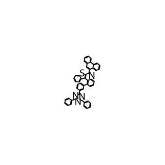 c1ccc(-c2nc(-c3ccccc3)nc(-c3cccc(-c4cccc5nc(-c6cc7ccccc7c7ccccc67)c6sc7ccccc7c6c45)c3)n2)cc1